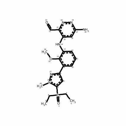 CCP(=O)(CC)c1cc(-c2cccc(Nc3cc(N)nnc3C=O)c2OC)nn1C